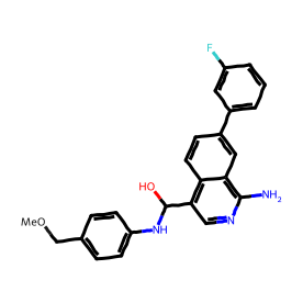 COCc1ccc(NC(O)c2cnc(N)c3cc(-c4cccc(F)c4)ccc23)cc1